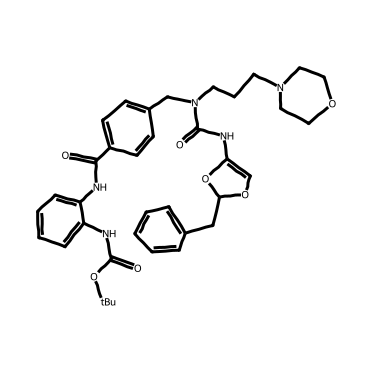 CC(C)(C)OC(=O)Nc1ccccc1NC(=O)c1ccc(CN(CCCN2CCOCC2)C(=O)NC2=COC(Cc3ccccc3)O2)cc1